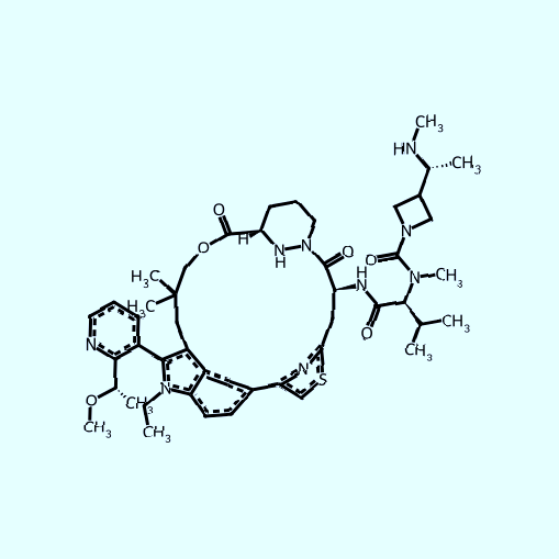 CCn1c(-c2cccnc2[C@H](C)OC)c2c3cc(ccc31)-c1csc(n1)C[C@H](NC(=O)[C@H](C(C)C)N(C)C(=O)N1CC([C@@H](C)NC)C1)C(=O)N1CCC[C@H](N1)C(=O)OCC(C)(C)C2